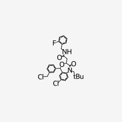 CC(C)(C)CN1C(=O)C(CC(=O)NCc2ccccc2F)OC(c2cccc(CCl)c2)c2cc(Cl)ccc21